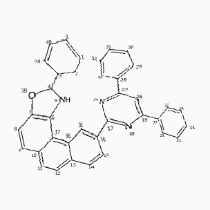 C1=CCC(C2Nc3c(ccc4ccc5ccc(-c6nc(-c7ccccc7)cc(-c7ccccc7)n6)cc5c34)O2)C=C1